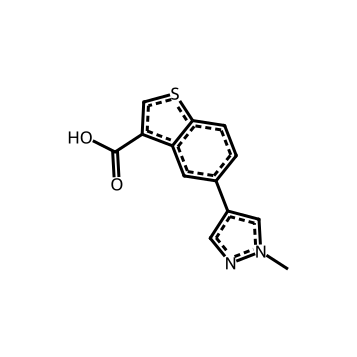 Cn1cc(-c2ccc3scc(C(=O)O)c3c2)cn1